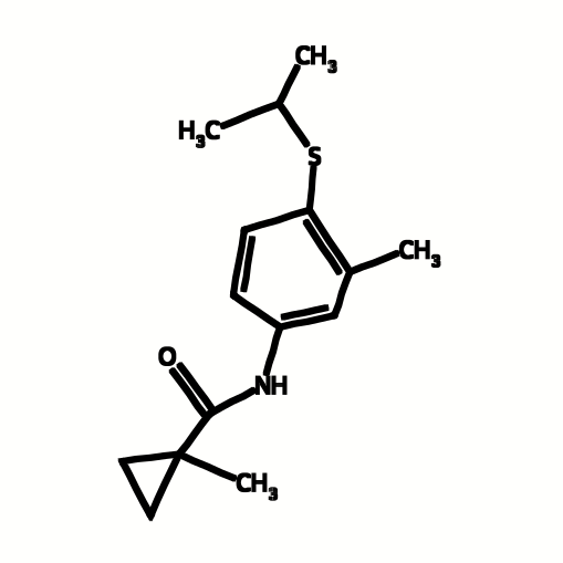 Cc1cc(NC(=O)C2(C)CC2)ccc1SC(C)C